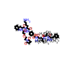 CNC(C(=O)NC(C(=O)N(C)C(/C=C(\C)C(=O)NS(=O)(=O)c1ccc(NC(=O)C(CCCCN)NC(=O)C(Cc2ccccc2)NC(=O)CCOCCN2C(=O)C=CC2=O)cc1)C(C)C)C(C)(C)C)C(C)(C)c1ccccc1